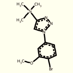 COc1cc(-n2cc([Si](C)(C)C)nn2)ccc1Br